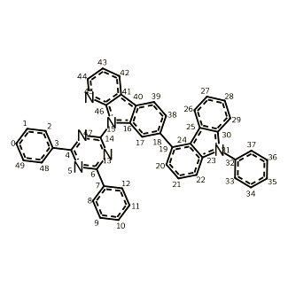 c1ccc(-c2nc(-c3ccccc3)nc(-n3c4cc(-c5cccc6c5c5ccccc5n6-c5ccccc5)ccc4c4cccnc43)n2)cc1